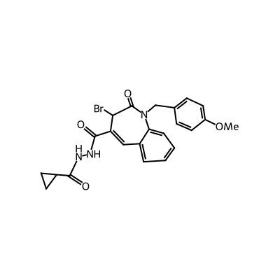 COc1ccc(CN2C(=O)C(Br)C(C(=O)NNC(=O)C3CC3)=Cc3ccccc32)cc1